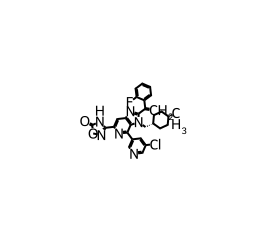 C=C(c1ccccc1F)c1nc2cc(-c3noc(=O)[nH]3)nc(-c3cncc(Cl)c3)c2n1C[C@H]1CC[C@H](C)CC1